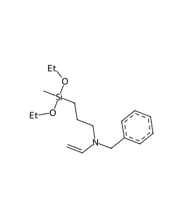 C=CN(CCC[Si](C)(OCC)OCC)Cc1ccccc1